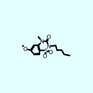 CCCCCN1C(=O)N(C)c2cc(OC)ccc2S1(=O)=O